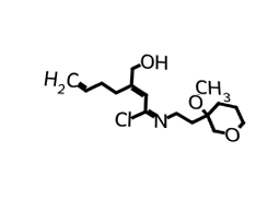 C=CCC/C(=C\C(Cl)=N/CCC1(OC)CCCOC1)CO